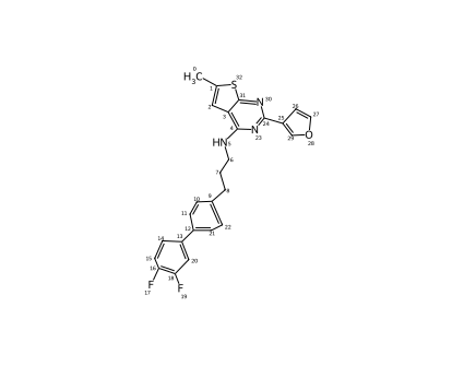 Cc1cc2c(NCCCc3ccc(-c4ccc(F)c(F)c4)cc3)nc(-c3ccoc3)nc2s1